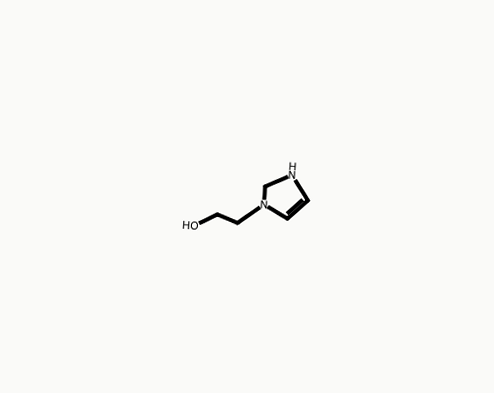 OCCN1C=CNC1